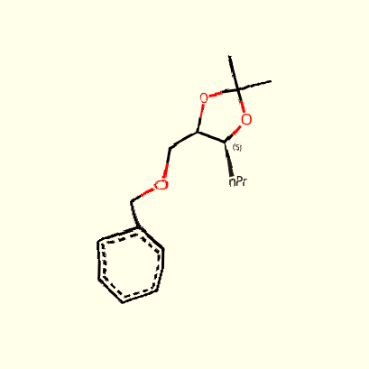 CCC[C@@H]1OC(C)(C)OC1COCc1ccccc1